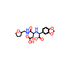 O=C(O)CC(NC(C(=O)O)c1ccc2c(c1)OCO2)C(=O)NCC1CCCO1